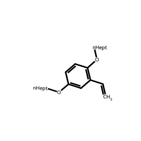 C=Cc1cc(OCCCCCCC)ccc1OCCCCCCC